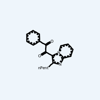 CCCCCc1nc2ccccn2c1C(=O)C(=O)c1ccccc1